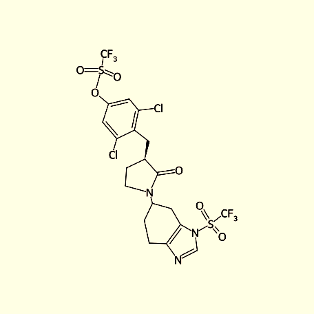 O=C1[C@H](Cc2c(Cl)cc(OS(=O)(=O)C(F)(F)F)cc2Cl)CCN1C1CCc2ncn(S(=O)(=O)C(F)(F)F)c2C1